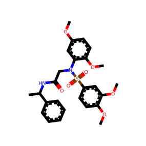 COc1ccc(OC)c(N(CC(=O)NC(C)c2ccccc2)S(=O)(=O)c2ccc(OC)c(OC)c2)c1